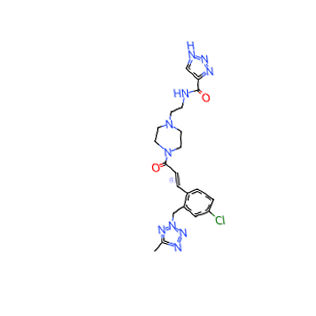 Cc1nnn(Cc2cc(Cl)ccc2/C=C/C(=O)N2CCN(CCNC(=O)c3c[nH]nn3)CC2)n1